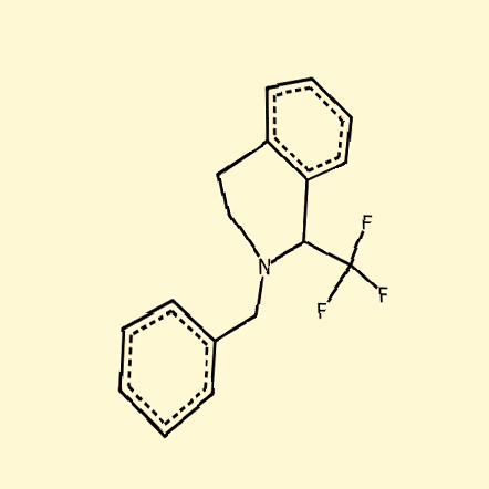 FC(F)(F)C1c2ccccc2CCN1Cc1ccccc1